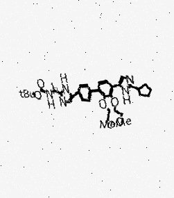 COCCOc1c(-c2ccc(-c3cnc([C@H](C)NC(=O)OC(C)(C)C)[nH]3)cc2)ccc(-c2cnc(C3CCCC3)[nH]2)c1OCCOC